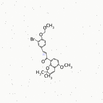 COCOc1ccc(/C=C/C(=O)c2ccc(OC)c3c2OC(C)(C)C=C3)cc1Br